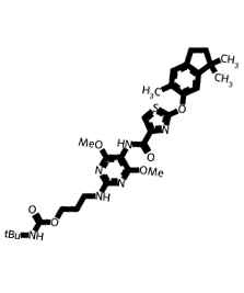 COc1nc(NCCCOC(=O)NC(C)(C)C)nc(OC)c1NC(=O)c1csc(Oc2cc3c(cc2C)CCC3(C)C)n1